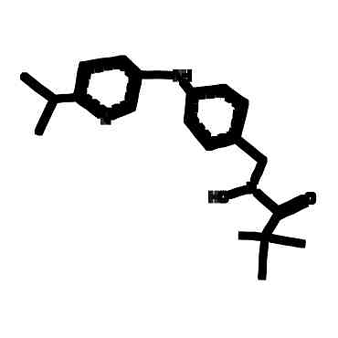 CC(C)c1ccc(Nc2ccc(CN(O)C(=O)C(C)(C)C)cc2)cn1